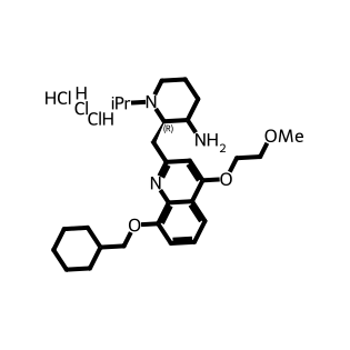 COCCOc1cc(C[C@@H]2C(N)CCCN2C(C)C)nc2c(OCC3CCCCC3)cccc12.Cl.Cl.Cl